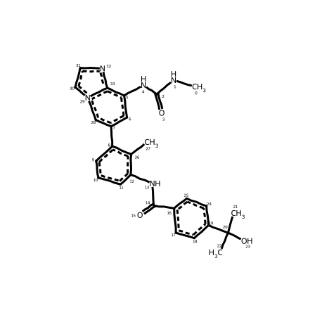 CNC(=O)Nc1cc(-c2cccc(NC(=O)c3ccc(C(C)(C)O)cc3)c2C)cn2ccnc12